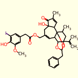 C=C(C)C12CC(C)C34OC(Cc5ccccc5)(OC1C3C=C(COC(=O)Cc1cc(I)c(O)c(OC)c1)CC1(O)C(=O)C(C)=CC14)O2